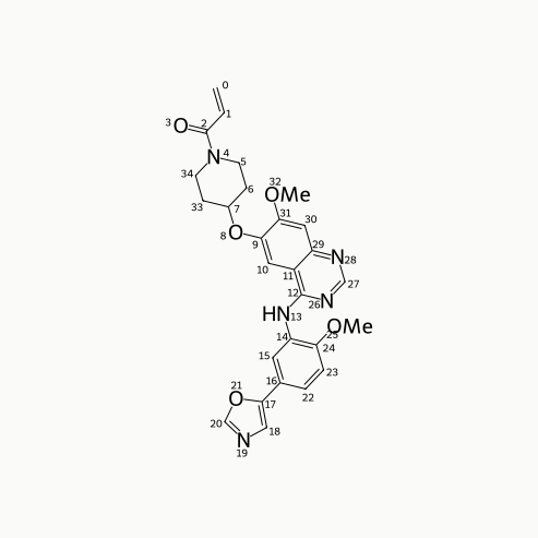 C=CC(=O)N1CCC(Oc2cc3c(Nc4cc(-c5cnco5)ccc4OC)ncnc3cc2OC)CC1